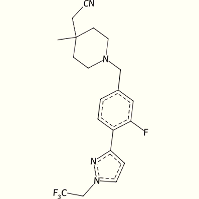 CC1(CC#N)CCN(Cc2ccc(-c3ccn(CC(F)(F)F)n3)c(F)c2)CC1